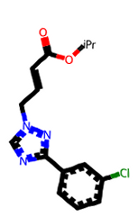 CC(C)OC(=O)C=CCn1cnc(-c2cccc(Cl)c2)n1